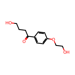 O=C(CCCO)c1ccc(OCCO)cc1